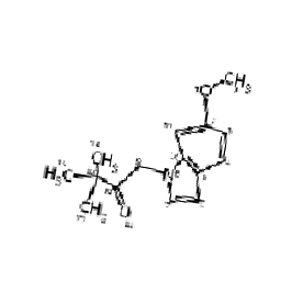 COc1ccc2ccn(CC(=O)C(C)(C)C)c2c1